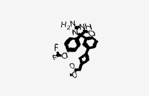 COC(=O)C=C1CC(c2cccc(C3(c4ccc(OC(F)F)cc4)N=C(N)NC3=O)c2)C1